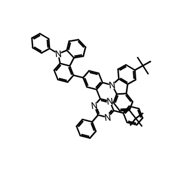 CC(C)(C)c1ccc2c(c1)c1cc(C(C)(C)C)ccc1n2-c1ccc(-c2cccc3c2c2ccccc2n3-c2ccccc2)cc1-c1nc(-c2ccccc2)nc(-c2ccccc2)n1